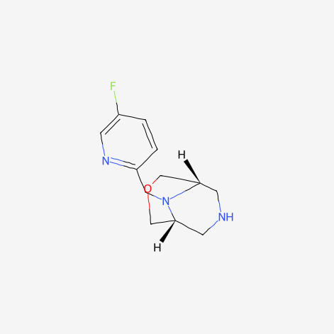 Fc1ccc(CN2[C@@H]3CNC[C@H]2COC3)nc1